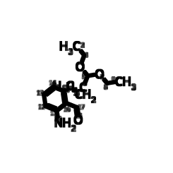 C=C.CCOC(C)OCC.Nc1ccccc1C=O